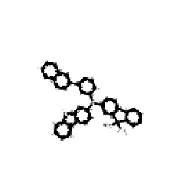 CC1(C)c2ccccc2-c2ccc(N(c3cccc(-c4ccc5ccccc5c4)c3)c3ccc4c(c3)oc3ccccc34)cc21